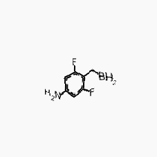 BCc1c(F)cc(N)cc1F